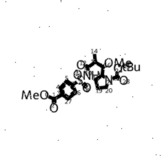 COC(=O)c1ccc(S(=O)(=O)NC(=O)C(C)C(OC)C2CCCN2C(=O)OC(C)(C)C)cc1